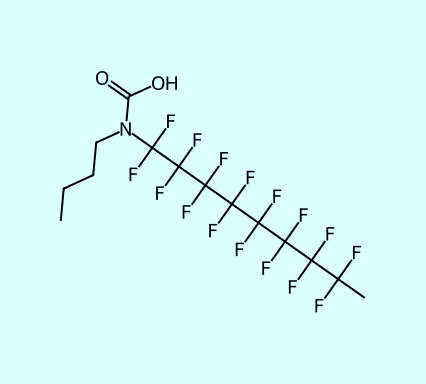 CCCCN(C(=O)O)C(F)(F)C(F)(F)C(F)(F)C(F)(F)C(F)(F)C(F)(F)C(F)(F)C(C)(F)F